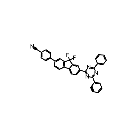 N#Cc1ccc(-c2ccc3c(c2)C(F)(F)c2cc(-c4nc(-c5c#cccc5)nc(-c5ccccc5)n4)ccc2-3)cc1